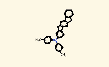 Cc1ccc(N(c2ccc(C)cc2)c2ccc3c(c2)Cc2cc4c(cc2-3)Cc2ccccc2-4)cc1